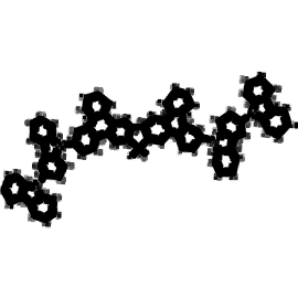 CC1(C)c2cc3c4ccc(-n5c6ccccc6c6cc(-n7c8ccccc8c8ccccc87)ccc65)cc4c4ccccc4c3cc2-c2cc3c4ccccc4c4cc(-n5c6ccccc6c6cc(-n7c8ccccc8c8ccccc87)ccc65)ccc4c3cc21